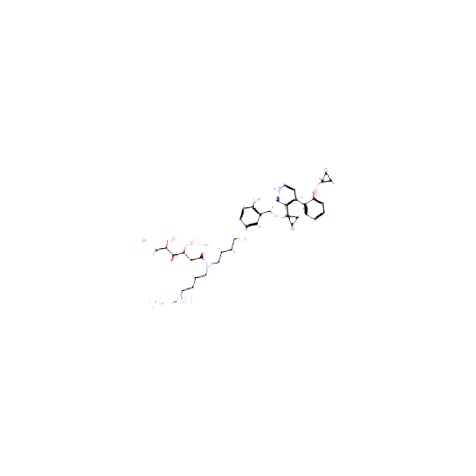 CSNCCCCN(CCCCSc1ccc(Cl)c(COC2(c3cnccc3-c3ccccc3OC3CC3)CC2)c1)C(=O)CC(O)C(O)C(O)CO